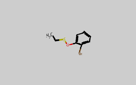 CCSOc1ccccc1Br